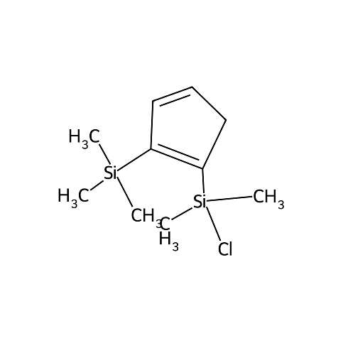 C[Si](C)(C)C1=C([Si](C)(C)Cl)CC=C1